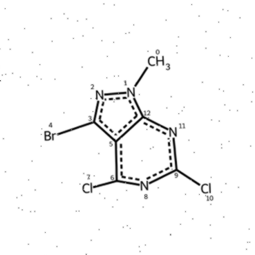 Cn1nc(Br)c2c(Cl)nc(Cl)nc21